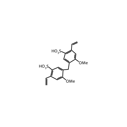 C=Cc1cc(OC)c(Cc2cc(S(=O)(=O)O)c(C=C)cc2OC)cc1S(=O)(=O)O